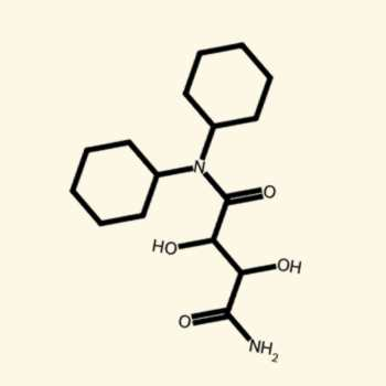 NC(=O)C(O)C(O)C(=O)N(C1CCCCC1)C1CCCCC1